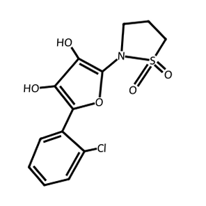 O=S1(=O)CCCN1c1oc(-c2ccccc2Cl)c(O)c1O